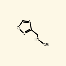 CC(C)(C)NCc1ncon1